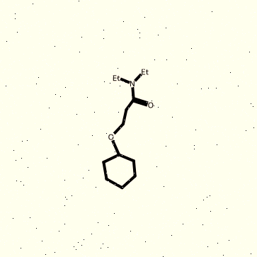 CCN(CC)C(=O)CCOC1CCCCC1